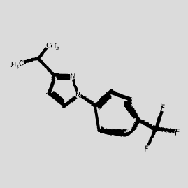 CC(C)c1[c]cn(-c2ccc(C(F)(F)F)cc2)n1